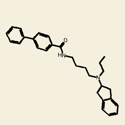 CCCN(CCCCNC(=O)c1ccc(-c2ccccc2)cc1)C1Cc2ccccc2C1